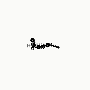 CCCCCCCOc1ccc(-c2cnc(-c3ccc(C[C@H](NC(=O)Cc4ccccc4)C(=O)O)cc3)nc2)cc1